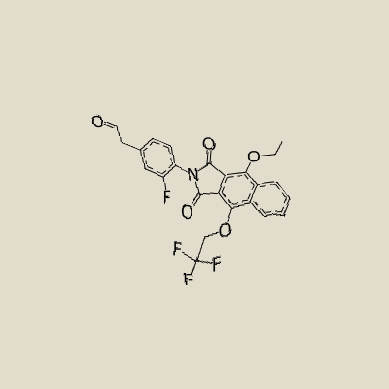 CCOc1c2c(c(OCC(F)(F)F)c3ccccc13)C(=O)N(c1ccc(CC=O)cc1F)C2=O